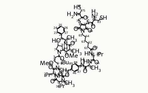 CC[C@@H](C)[C@@H]([C@@H](CC(=O)N1CCC[C@H]1[C@H](OC)[C@@H](C)C(=O)N[C@@H](C)[C@H](O)c1ccccc1)OC)N(C)C(=O)[C@@H](NC(=O)[C@H](C(C)C)N(C)C(=O)OCc1ccc(NC(=O)[C@@H](C)NC(=O)[C@H](NC(=O)CCCCCN2C(=O)C(SC(=O)[C@@H](N)CS)=C(SC(=O)[C@@H](N)CS)C2=O)C(C)C)cc1)C(C)C